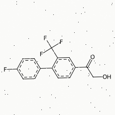 O=C(CO)c1ccc(-c2ccc(F)cc2)c(C(F)(F)F)c1